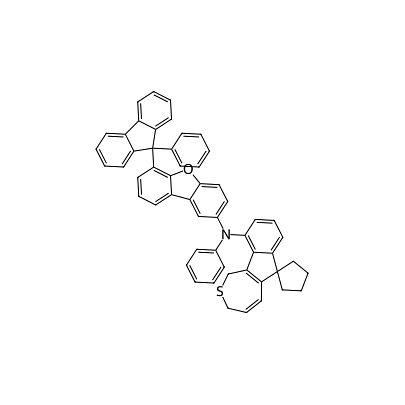 C1=CC2=C(CSC1)c1c(N(c3ccccc3)c3ccc4oc5c(C6(c7ccccc7)c7ccccc7-c7ccccc76)cccc5c4c3)cccc1C21CCCC1